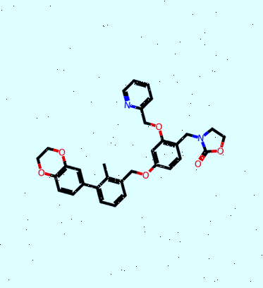 Cc1c(COc2ccc(CN3CCOC3=O)c(OCc3ccccn3)c2)cccc1-c1ccc2c(c1)OCCO2